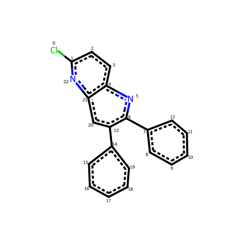 Clc1ccc2nc(-c3ccccc3)c(-c3ccccc3)cc2n1